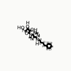 OC[C@H]1O[C@@H](n2cnc3c(NCCCCc4ccccc4)ncnc32)[C@H](O)[C@@H]1O